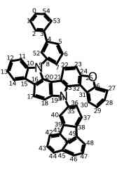 c1ccc(-c2cccc(-n3c4ccccc4c4ccc5c(c6ccc7oc8ccccc8c7c6n5-c5ccc6c(c5)-c5cccc7cccc-6c57)c43)c2)cc1